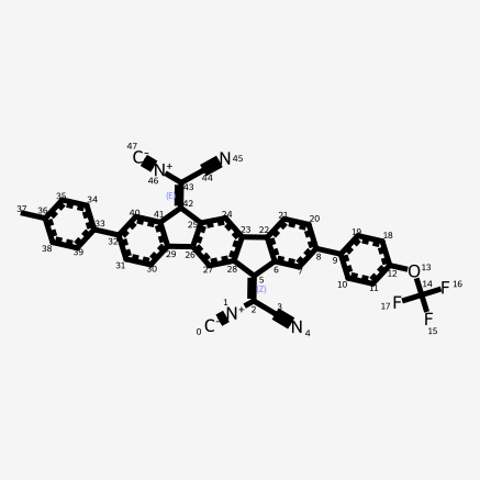 [C-]#[N+]/C(C#N)=C1/c2cc(-c3ccc(OC(F)(F)F)cc3)ccc2-c2cc3c(cc21)-c1ccc(-c2ccc(C)cc2)cc1/C3=C(/C#N)[N+]#[C-]